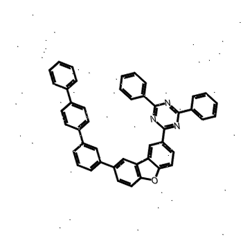 c1ccc(-c2ccc(-c3cccc(-c4ccc5oc6ccc(-c7nc(-c8ccccc8)nc(-c8ccccc8)n7)cc6c5c4)c3)cc2)cc1